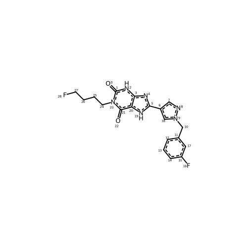 O=c1[nH]c2nc(-c3cnn(Cc4cccc(F)c4)c3)[nH]c2c(=O)n1CCCCF